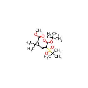 COC(=O)C1C(C=C(C(=O)OC(C)(C)C)S(=O)(=O)C(C)(C)C)C1(C)C